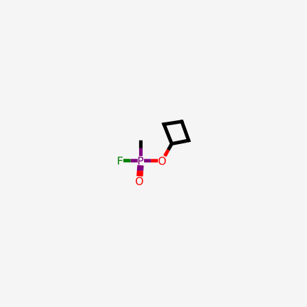 CP(=O)(F)OC1CCC1